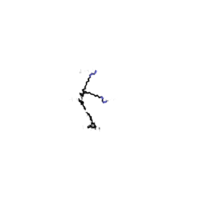 CCCCC/C=C\C/C=C\CCCCCCCCC1(CCCCCCCC/C=C\C/C=C\CCCCC)OC[C@H](CN(C)CC(=O)NCCOCCOCCO[C@@H]2OC(CO)[C@@H](O)C(O)C2O)O1